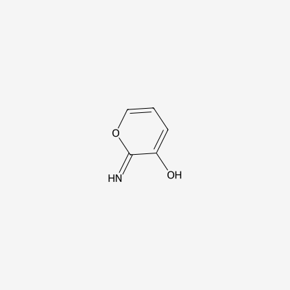 N=c1occcc1O